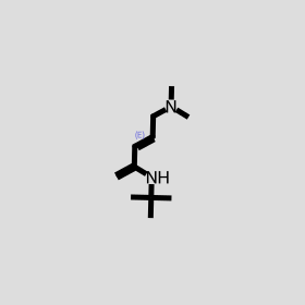 C=C(/C=C/CN(C)C)NC(C)(C)C